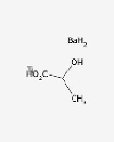 CC(O)C(=O)O.[BaH2].[Ti]